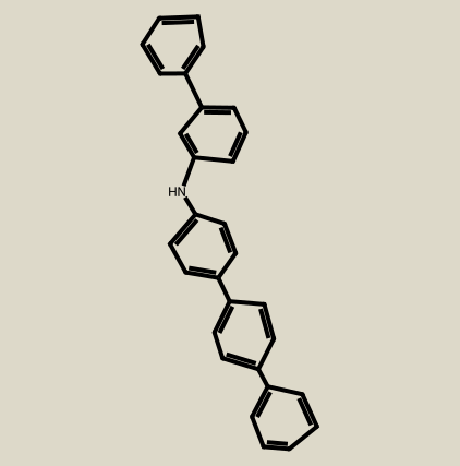 c1ccc(-c2ccc(-c3ccc(Nc4cccc(-c5ccccc5)c4)cc3)cc2)cc1